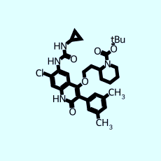 Cc1cc(C)cc(-c2c(OCCC3CCCCN3C(=O)OC(C)(C)C)c3cc(NC(=O)NC4CC4)c(Cl)cc3[nH]c2=O)c1